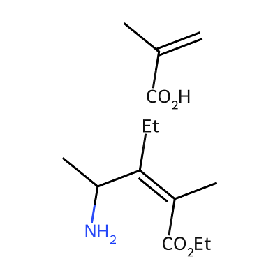 C=C(C)C(=O)O.CCOC(=O)C(C)=C(CC)C(C)N